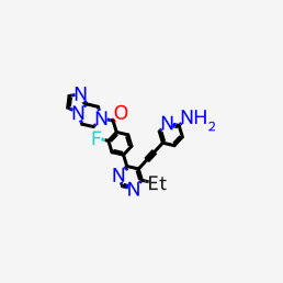 CCc1ncnc(-c2ccc(C(=O)N3CCn4ccnc4C3)c(F)c2)c1C#Cc1ccc(N)nc1